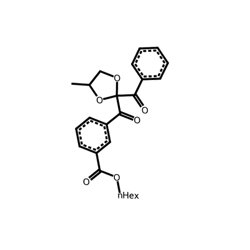 CCCCCCOC(=O)c1cccc(C(=O)C2(C(=O)c3ccccc3)OCC(C)O2)c1